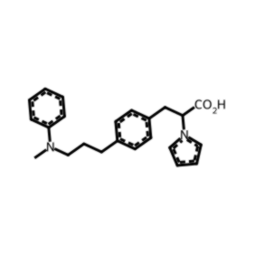 CN(CCCc1ccc(CC(C(=O)O)n2cccc2)cc1)c1ccccc1